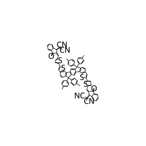 Cc1ccc(C2(c3ccc(C)cc3)c3cc4c(cc3-c3c2ccc2cc(-c5ccc(/C=C6\C(=O)c7ccccc7C6=C(C#N)C#N)s5)sc32)C(c2ccc(C)cc2)(c2ccc(C)cc2)c2ccc3cc(-c5ccc(/C=C6\C(=O)c7ccccc7C6=C(C#N)C#N)s5)sc3c2-4)cc1